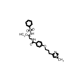 Cn1cnc(CCCOc2ccc(C(=O)NC[C@H](NS(=O)(=O)c3ccccc3)C(=O)O)cc2)c1